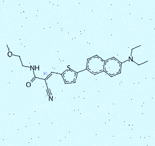 CCN(CC)c1ccc2cc(-c3ccc(/C=C(\C#N)C(=O)NCCOC)s3)ccc2c1